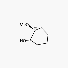 CO[C@H]1CCCCC1O